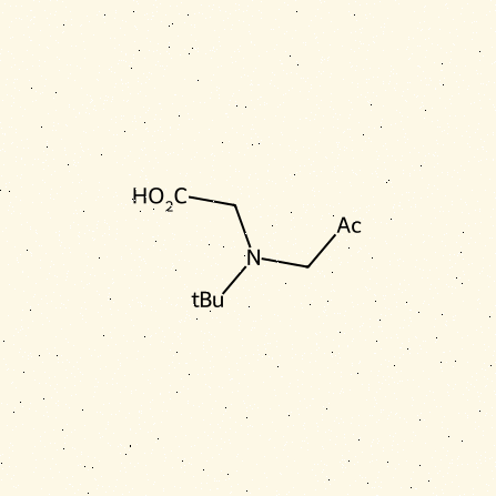 CC(=O)CN(CC(=O)O)C(C)(C)C